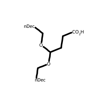 CCCCCCCCCCCOC(CCC(=O)O)OCCCCCCCCCCC